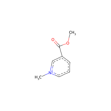 COC(=O)c1ccc[n+](C)c1